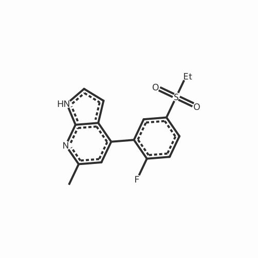 CCS(=O)(=O)c1ccc(F)c(-c2cc(C)nc3[nH]ccc23)c1